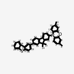 Cc1ccc2c(c1)Oc1cc(C)ccc1N2c1ccc2c(c1)C(C)(C)c1cc(-c3ccc4sc5ccccc5c4c3)ccc1-2